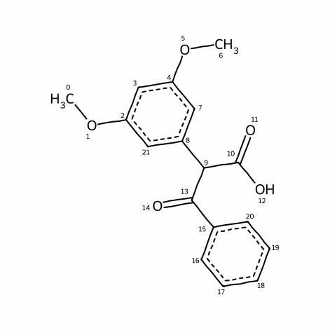 COc1cc(OC)cc(C(C(=O)O)C(=O)c2ccccc2)c1